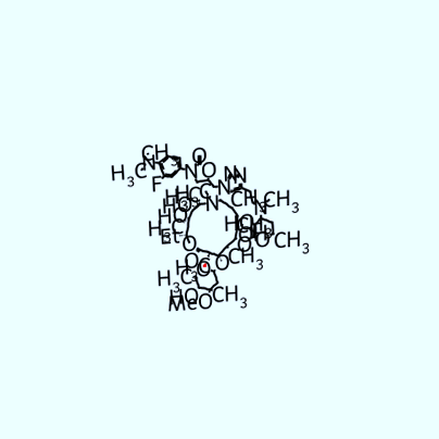 CC[C@H]1OC(=O)[C@H](C)[C@@H](O[C@H]2C[C@@](C)(OC)[C@@H](O)[C@H](C)O2)[C@H](C)[C@@H](O[C@@H]2O[C@H](C)C[C@H](N(C)CCc3cn(CC4CN(c5ccc(N(C)C)c(F)c5)C(=O)O4)nn3)[C@H]2O)[C@](C)(O)C[C@@H](C)CN(C)[C@H](C)[C@@H](O)[C@]1(C)O